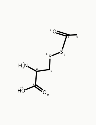 CC(=O)SSCC(N)C(=O)O